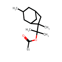 CCC(=O)OC(C)(C)C1(C)CC2CC(C)CC1C2